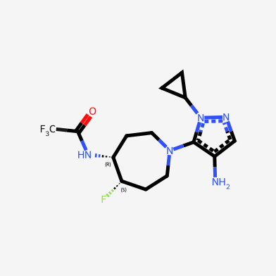 Nc1cnn(C2CC2)c1N1CC[C@H](F)[C@H](NC(=O)C(F)(F)F)CC1